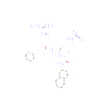 COc1cc(NC(=O)C(CCCNC(=N)N)NC(=O)C(CCCNC(=N)N)NC(=O)OCc2ccccc2)cc2ccccc12